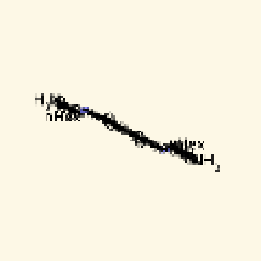 CCCCCCC(C/C=C\CCCCCCCC(=O)OCCCCCCCCCCOC(=O)CCCCCCC/C=C\CC(CCCCCC)OC(=O)CCCC(=O)OCCN)OC(=O)CCCC(=O)OCN